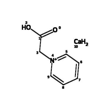 O=C(O)C[n+]1ccccc1.[CaH2]